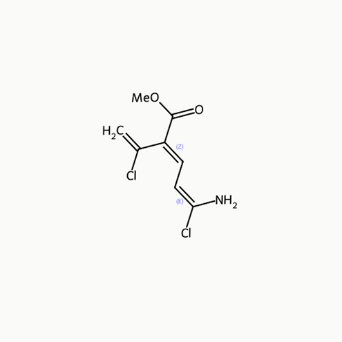 C=C(Cl)/C(=C\C=C(/N)Cl)C(=O)OC